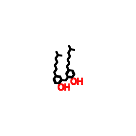 CC(C)CCCCCc1ccc(O)c(Cc2cc(CCCCCC(C)C)ccc2O)c1